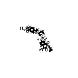 CC(C)n1c(=O)n(CC2CC2)c(=O)c2cc(NC(=O)N3CCCC(NC(=O)c4ccc(S(C)(=O)=O)cc4)C3)ccc21